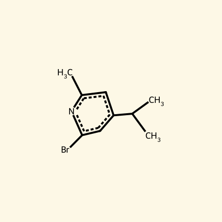 Cc1cc(C(C)C)cc(Br)n1